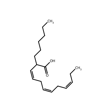 CC/C=C\C/C=C\C/C=C\C(CCCCCC)C(=O)O